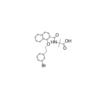 CC(C)(NC(=O)c1ccc2ccccc2c1OCCc1cccc(Br)c1)C(=O)O